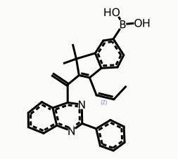 C=C(C1=C(/C=C\C)c2ccc(B(O)O)cc2C1(C)C)c1nc(-c2ccccc2)nc2ccccc12